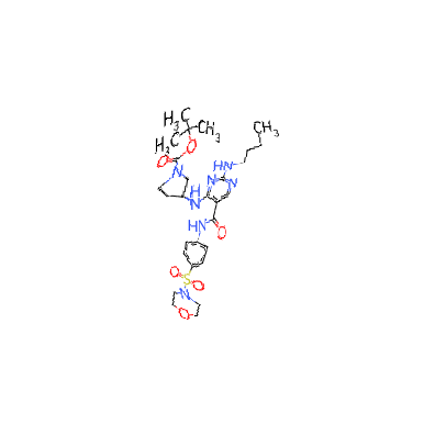 CCCCNc1ncc(C(=O)Nc2ccc(S(=O)(=O)N3CCOCC3)cc2)c(N[C@H]2CCN(C(=O)OC(C)(C)C)C2)n1